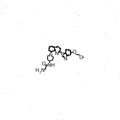 COCCOc1ccc2c(c1)ncn2-c1ccc2cccc(N3CCC(NC(=O)CN)CC3)c2n1